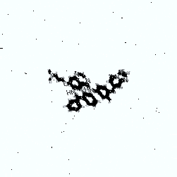 Cc1cc(Nc2ncnc3cc(OCCCN(C)C)c(NC(c4ccccc4)c4ccccc4)c(F)c23)ccc1Cc1ccn2ncnc2c1